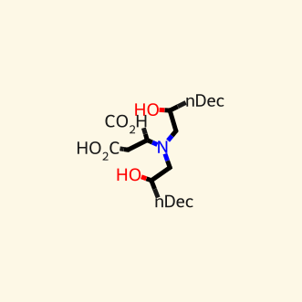 CCCCCCCCCCC(O)CN(CC(O)CCCCCCCCCC)C(CC(=O)O)C(=O)O